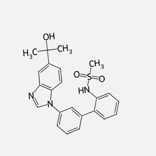 CC(C)(O)c1ccc2c(c1)ncn2-c1cccc(-c2ccccc2NS(C)(=O)=O)c1